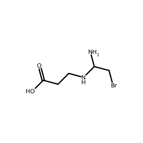 NC(CBr)NCCC(=O)O